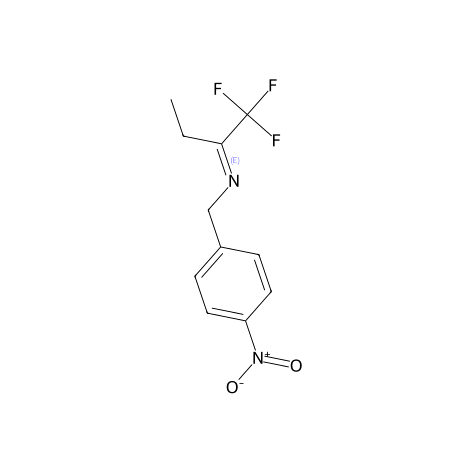 CC/C(=N\Cc1ccc([N+](=O)[O-])cc1)C(F)(F)F